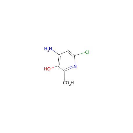 Nc1cc(Cl)nc(C(=O)O)c1O